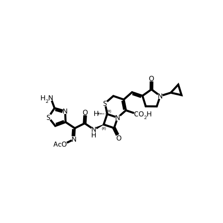 CC(=O)ON=C(C(=O)N[C@@H]1C(=O)N2C(C(=O)O)=C(C=C3CCN(C4CC4)C3=O)CS[C@H]12)c1csc(N)n1